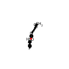 C=CC(=O)OCCCCCCOc1ccc(C(=O)Nc2ccc(-c3ccc(F)cc3)cc2)cc1